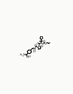 CCCOC(=O)N[C@H](C(=S)N1CCC[C@H]1C(=O)NCC1CCC(C(=N)N)CC1)C(C)(C)C1CCCC1